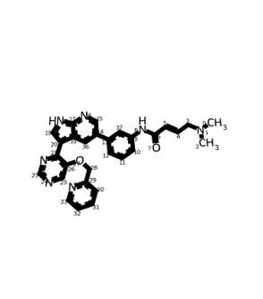 CN(C)C/C=C/C(=O)Nc1cccc(-c2cnc3[nH]cc(-c4ncncc4OCc4ccccn4)c3c2)c1